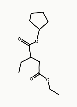 CCOC(=O)CC(CC)C(=O)OC1CCCC1